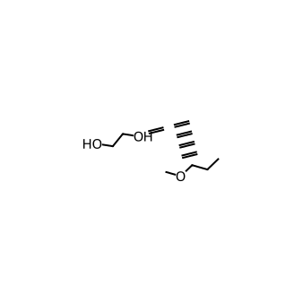 C=C.C=C.C=C.C=C.C=C.CCCOC.OCCO